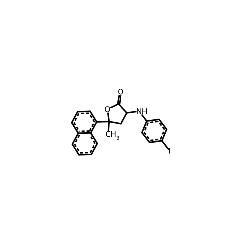 CC1(c2cccc3ccccc23)CC(Nc2ccc(I)cc2)C(=O)O1